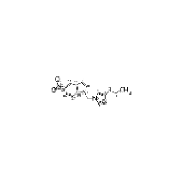 CCCc1cn(Cn2ccc3cc([N+](=O)[O-])ccc32)nn1